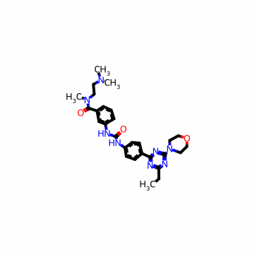 CCc1nc(-c2ccc(NC(=O)Nc3cccc(C(=O)N(C)CCN(C)C)c3)cc2)nc(N2CCOCC2)n1